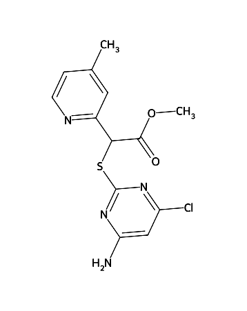 COC(=O)C(Sc1nc(N)cc(Cl)n1)c1cc(C)ccn1